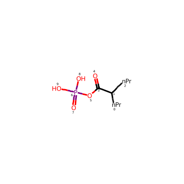 CCCC(CCC)C(=O)OP(=O)(O)O